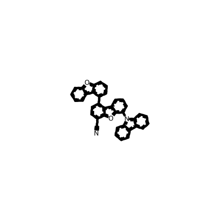 N#Cc1ccc(-c2cccc3oc4ccccc4c23)c2c1oc1c(-n3c4ccccc4c4ccccc43)cccc12